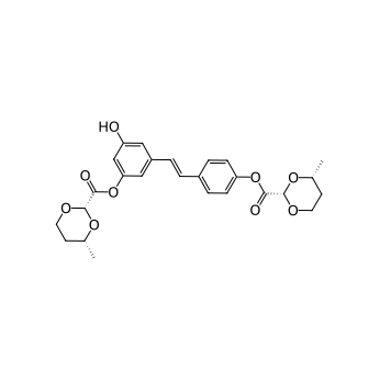 C[C@@H]1CCO[C@H](C(=O)Oc2ccc(/C=C/c3cc(O)cc(OC(=O)[C@H]4OCC[C@@H](C)O4)c3)cc2)O1